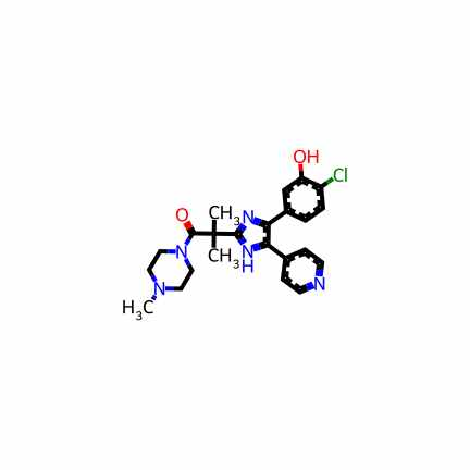 CN1CCN(C(=O)C(C)(C)c2nc(-c3ccc(Cl)c(O)c3)c(-c3ccncc3)[nH]2)CC1